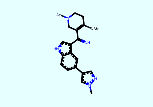 CNC1=C(C(=N)c2c[nH]c3ccc(-c4cnn(C)c4)cc23)CN(C(C)=O)CC1